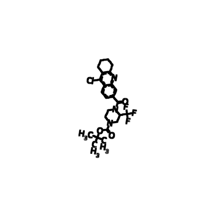 CC(C)(C)OC(=O)N1CCN(C(=O)c2ccc3c(Cl)c4c(nc3c2)CCCC4)C(C(F)(F)F)C1